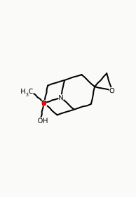 CB(O)N1C2COCC1CC1(CO1)C2